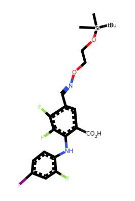 CC(C)(C)[Si](C)(C)OCCON=Cc1cc(C(=O)O)c(Nc2ccc(I)cc2F)c(F)c1F